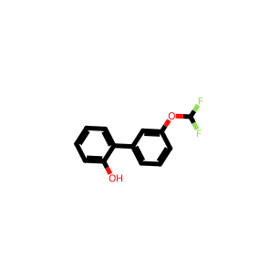 Oc1ccccc1-c1cccc(OC(F)F)c1